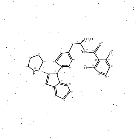 CCOC(=O)[C@H](Cc1ccc(-n2c([C@H]3CCCCN3)nc3cccnc32)cc1)NC(=O)c1c(Cl)cccc1Cl